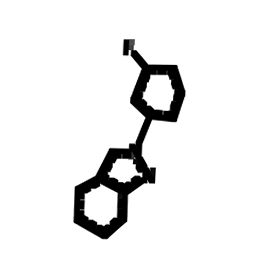 Fc1cccc(-n2cc3ccccc3n2)c1